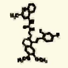 COc1cc2c(cc1OC)C(C=Cc1ccc(F)cc1F)N(CCNC(=O)Nc1cc(C)nc3ccccc13)CC2